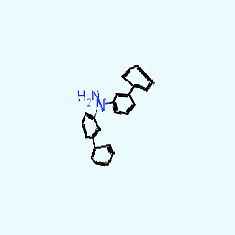 NN(c1cccc(-c2ccccc2)c1)c1cccc(-c2ccccc2)c1